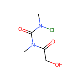 CN(Cl)C(=O)N(C)C(=O)CO